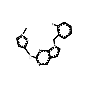 Cn1ccc(Nc2ncc3ccn(Cc4ccccc4F)c3n2)n1